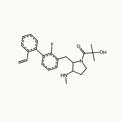 C=Cc1ccccc1-c1cccc(CC2C(NC)CCN2C(=O)C(C)(C)O)c1F